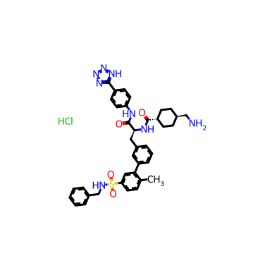 Cc1ccc(S(=O)(=O)NCc2ccccc2)cc1-c1cccc(C[C@H](NC(=O)[C@H]2CC[C@H](CN)CC2)C(=O)Nc2ccc(-c3nnn[nH]3)cc2)c1.Cl